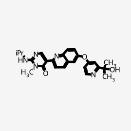 CC(C)Nc1ncc(-c2ccc3cc(Oc4ccnc(C(C)(C)O)c4)ccc3n2)c(=O)n1C